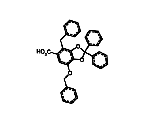 O=C(O)c1cc(OCc2ccccc2)c2c(c1Cc1ccccc1)OC(c1ccccc1)(c1ccccc1)O2